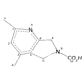 Cc1cc(C)c2c(n1)CN(C(=O)O)C2